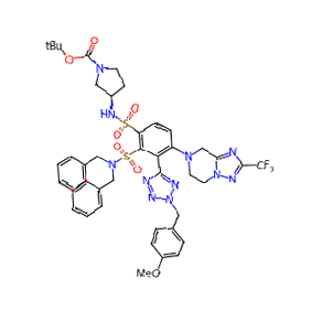 COc1ccc(Cn2nnc(-c3c(N4CCn5nc(C(F)(F)F)nc5C4)ccc(S(=O)(=O)N[C@@H]4CCN(C(=O)OC(C)(C)C)C4)c3S(=O)(=O)N(Cc3ccccc3)Cc3ccccc3)n2)cc1